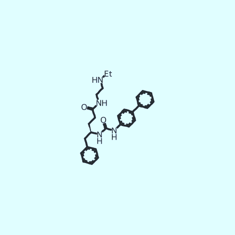 CCNCCNC(=O)CC[C@H](Cc1ccccc1)NC(=O)Nc1ccc(-c2ccccc2)cc1